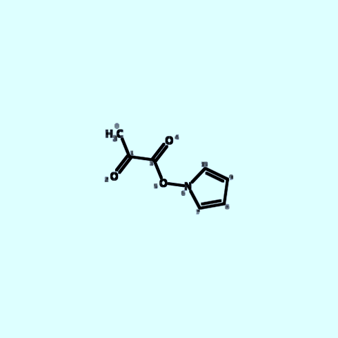 CC(=O)C(=O)On1cccc1